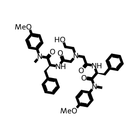 COc1ccc(N(C)C(=O)[C@H](Cc2ccccc2)NC(=O)CN(CCO)CC(=O)N[C@@H](Cc2ccccc2)C(=O)N(C)c2ccc(OC)cc2)cc1